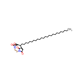 CCCCCCCCCCCCCCCCCCCCCCCCCC1C2=CC(=O)N(SSN3C(=O)C=C1C3=O)C2=O